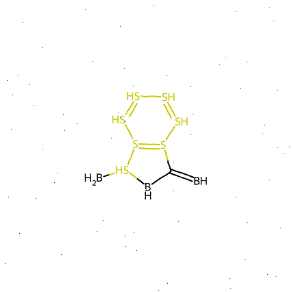 B=C1B[SH](B)S2=S1[SH]=[SH][SH]=[SH]2